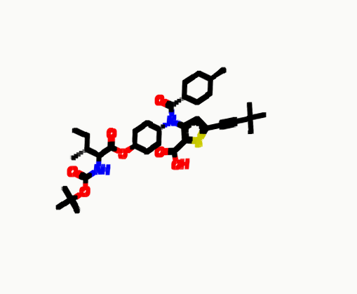 CC[C@@H](C)C(NC(=O)OC(C)(C)C)C(=O)O[C@H]1CC[C@H](N(c2cc(C#CC(C)(C)C)sc2C(=O)O)C(=O)[C@H]2CC[C@H](C)CC2)CC1